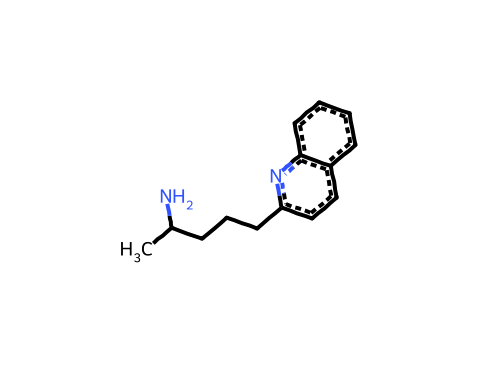 CC(N)CCCc1ccc2ccccc2n1